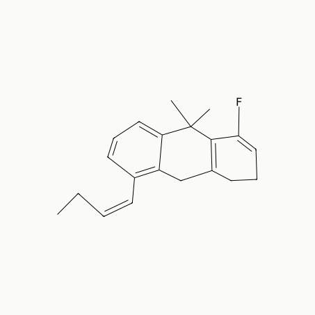 CC/C=C\c1cccc2c1CC1=C(C(F)=CCC1)C2(C)C